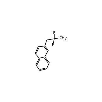 [CH2]C(F)(F)Cc1ccc2ccccc2c1